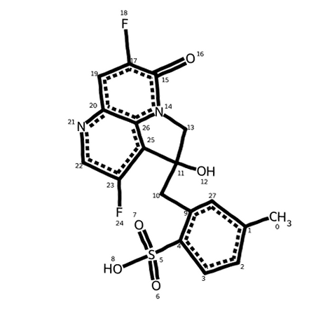 Cc1ccc(S(=O)(=O)O)c(CC2(O)Cn3c(=O)c(F)cc4ncc(F)c2c43)c1